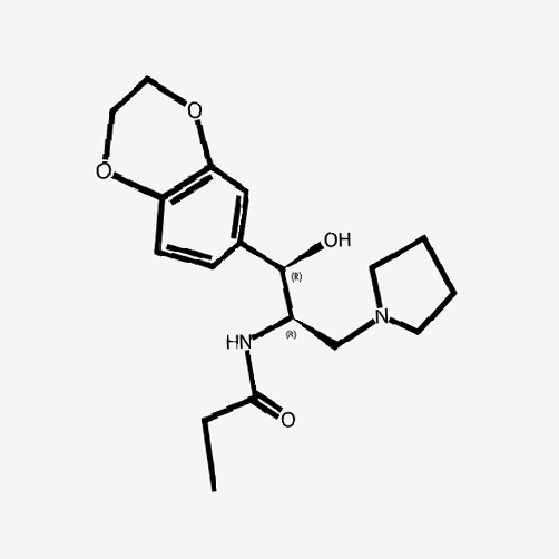 CCC(=O)N[C@H](CN1CCCC1)[C@H](O)c1ccc2c(c1)OCCO2